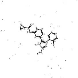 CSc1nc(-c2ccccc2F)c(-c2ccnc(NC(=O)C3CC3)c2)n1C